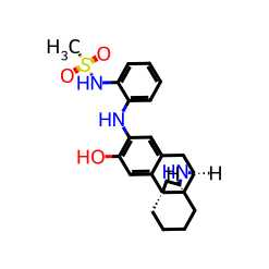 CS(=O)(=O)Nc1ccccc1Nc1cc2c(cc1O)[C@]13CCCC[C@@H]1[C@H](C2)NCC3